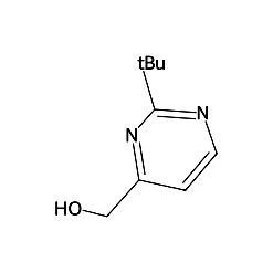 CC(C)(C)c1nccc(CO)n1